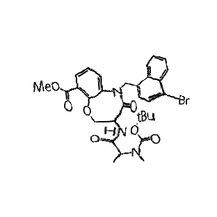 COC(=O)c1cccc2c1OCC(NC(=O)C(C)N(C)C(=O)OC(C)(C)C)C(=O)N2Cc1ccc(Br)c2ccccc12